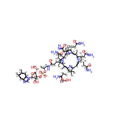 C/C1=C2N=C(/C=C3N=C(/C(C)=C4/[C@@H](CCC(N)=O)[C@](C)(CC(N)=O)[C@](C)([C@@H]5N=C1[C@](C)(CCC(=O)NCC(C)OP(=O)([O-])O[C@H]1[C@@H](O)[C@@H](n6cnc7cc(C)c(C)cc76)O[C@@H]1CO)[C@H]5CC(N)=O)[N]4[Co+][C]#N)[C@@](C)(CC(N)=O)[C@@H]\3CCC(N)=O)C(C)(C)[C@@H]/2CCC(N)=O.CCO